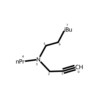 C#CCN(CCC)CCC(C)CC